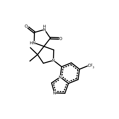 CC1(C)CN(c2cc(C(F)(F)F)cc3cncn23)CC12NC(=O)NC2=O